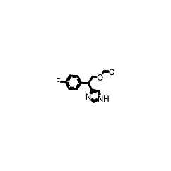 O=COCC(c1ccc(F)cc1)c1c[nH]cn1